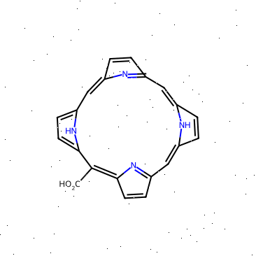 O=C(O)c1c2nc(cc3ccc(cc4nc(cc5ccc1[nH]5)C=C4)[nH]3)C=C2